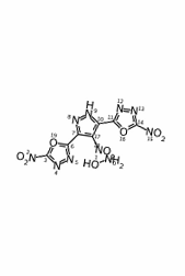 NO.O=[N+]([O-])c1nnc(-c2n[nH]c(-c3nnc([N+](=O)[O-])o3)c2[N+](=O)[O-])o1